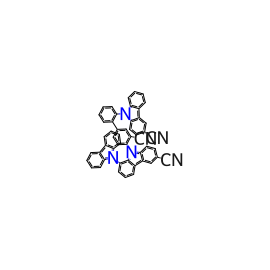 N#Cc1ccc2c(c1)c1ccccc1n2-c1ccccc1-c1ccc(-n2c3ccc(C#N)cc3c3cccc(-n4c5ccccc5c5ccccc54)c32)c(C#N)c1